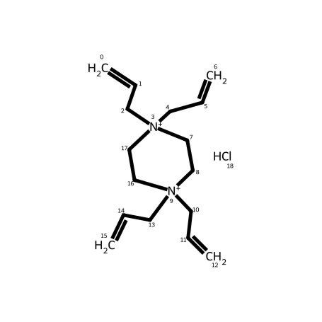 C=CC[N+]1(CC=C)CC[N+](CC=C)(CC=C)CC1.Cl